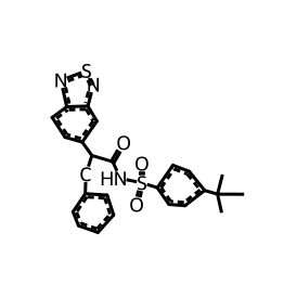 CC(C)(C)c1ccc(S(=O)(=O)NC(=O)C(Cc2ccccc2)c2ccc3nsnc3c2)cc1